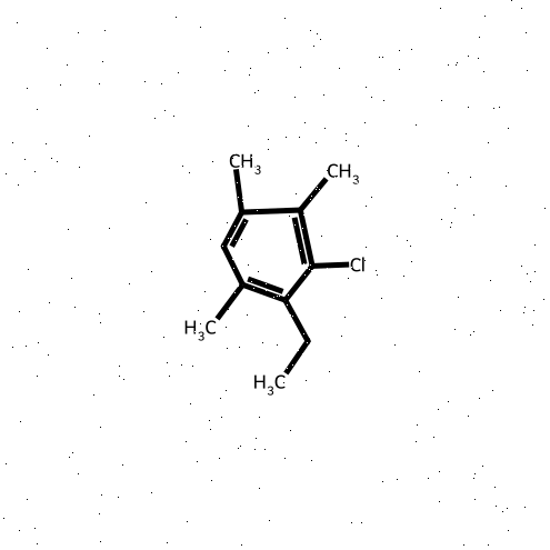 CCc1c(C)cc(C)c(C)c1Cl